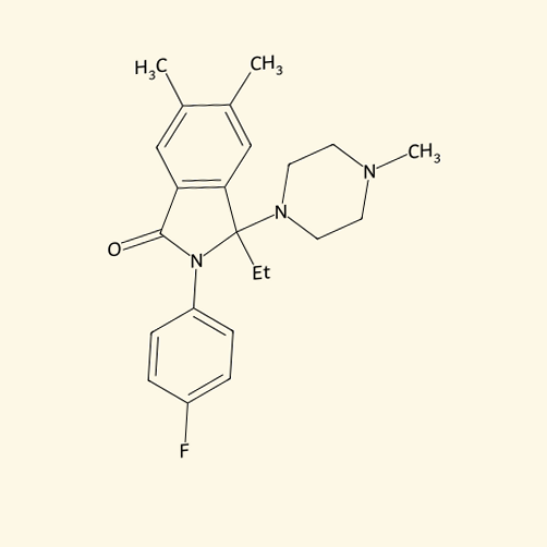 CCC1(N2CCN(C)CC2)c2cc(C)c(C)cc2C(=O)N1c1ccc(F)cc1